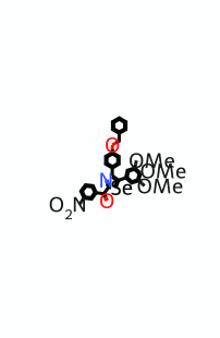 COc1cc(-c2[se]c(C(=O)c3cccc([N+](=O)[O-])c3)nc2-c2ccc(OCc3ccccc3)cc2)cc(OC)c1OC